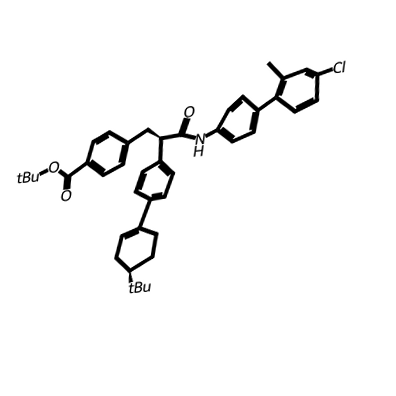 Cc1cc(Cl)ccc1-c1ccc(NC(=O)[C@H](Cc2ccc(C(=O)OC(C)(C)C)cc2)c2ccc(C3=CC[C@H](C(C)(C)C)CC3)cc2)cc1